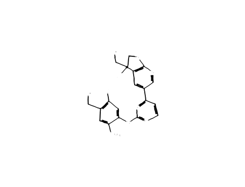 COc1cc(CO)c(Cl)cc1Nc1nccc(-c2cnc3c(c2)C(C)(CO)CN3)n1